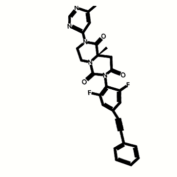 Cc1cc(N2CCN3C(=O)N(c4c(F)cc(C#Cc5ccccc5)cc4F)C(=O)C[C@@]3(C)C2=O)ncn1